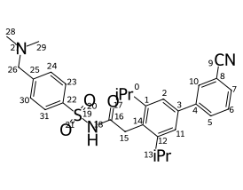 CC(C)c1cc(-c2cccc(C#N)c2)cc(C(C)C)c1CC(=O)NS(=O)(=O)c1ccc(CN(C)C)cc1